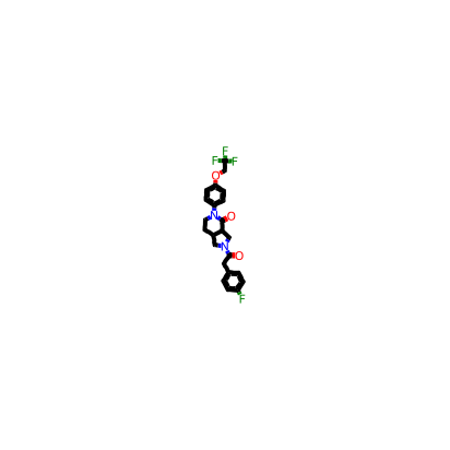 O=C(Cc1ccc(F)cc1)N1CC2CCN(c3ccc(OCC(F)(F)F)cc3)C(=O)C2C1